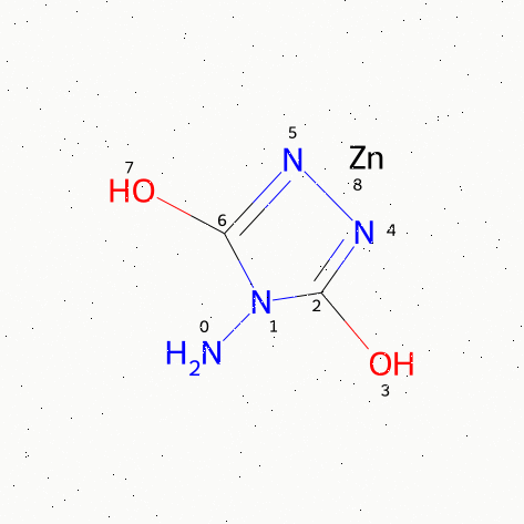 Nn1c(O)nnc1O.[Zn]